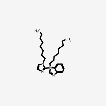 CCCCCCCCn1ccnc1[N+]1(CCCCCCCC)C=Nc2ccccc21